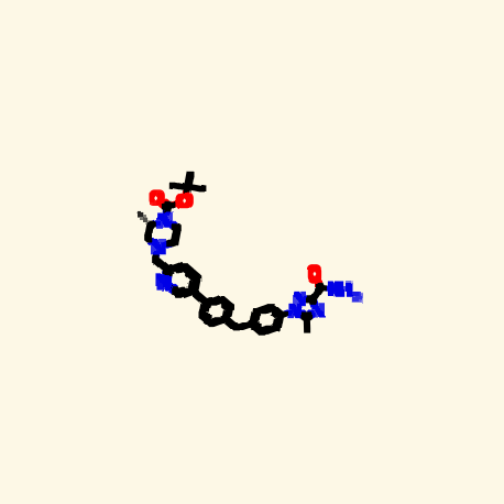 Cc1nc(C(N)=O)nn1-c1ccc(Cc2ccc(-c3ccc(CN4CCN(C(=O)OC(C)(C)C)[C@@H](C)C4)nc3)cc2)cc1